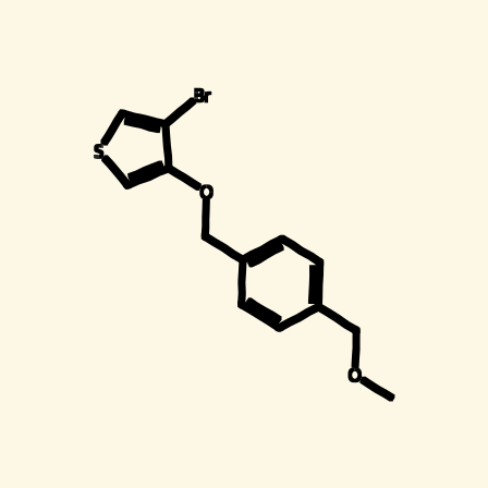 COCc1ccc(COc2cscc2Br)cc1